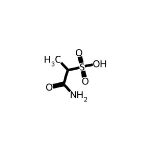 CC(C(N)=O)S(=O)(=O)O